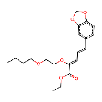 CCCCOCCOC(=CC=Cc1ccc2c(c1)OCO2)C(=O)OCC